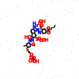 CCCCS(=O)(=O)c1ccc(N=Nc2c(N)ccc3c(O)c(N=Nc4cc(C)c(SC#COOS(=O)(=O)O)cc4OC)c(SOOO)cc23)c(SOOO)c1